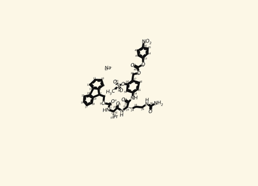 CC(C)[C@H](NC(=O)OCC1c2ccccc2-c2ccccc21)C(=O)N[C@@H](CCCNC(N)=O)C(=O)Nc1ccc(COC(=O)Oc2ccc([N+](=O)[O-])cc2)c(OS(C)(=O)=O)c1.[Na]